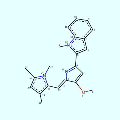 COC1=CC(c2cc3ccccc3n2C)=N/C1=C\c1c(C)cc(C)n1C